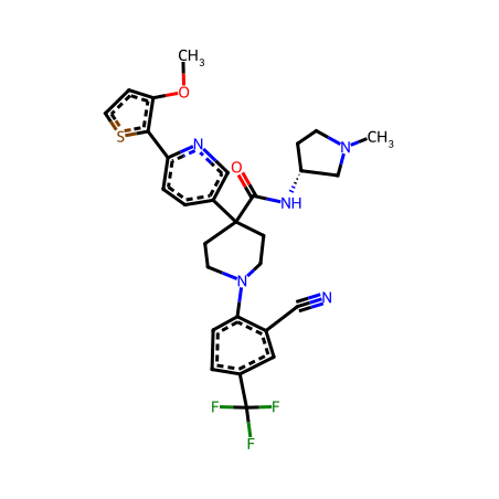 COc1ccsc1-c1ccc(C2(C(=O)N[C@@H]3CCN(C)C3)CCN(c3ccc(C(F)(F)F)cc3C#N)CC2)cn1